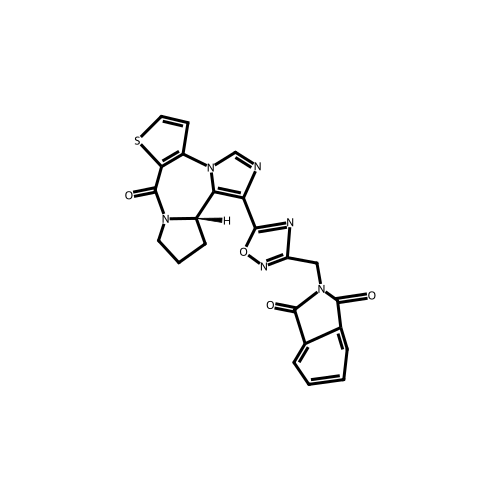 O=C1c2ccccc2C(=O)N1Cc1noc(-c2ncn3c2[C@@H]2CCCN2C(=O)c2sccc2-3)n1